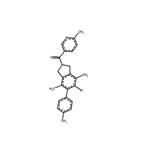 CCc1c(C)c2c(c(C)c1-c1ccc(C)cc1)CN(C(=O)c1ccc(C)nc1)C2